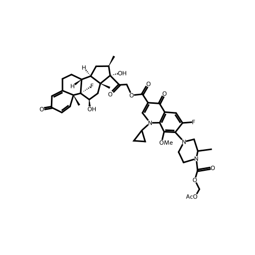 COc1c(N2CCN(C(=O)OCOC(C)=O)C(C)C2)c(F)cc2c(=O)c(C(=O)OCC(=O)[C@]3(O)[C@H](C)C[C@@H]4[C@H]5CCC6=CC(=O)C=C[C@@]6(C)[C@]5(F)[C@H](O)C[C@]43C)cn(C3CC3)c12